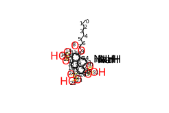 CCCCCCCC(=O)Oc1cc(S(=O)(=O)O)c2ccc3c(S(=O)(=O)O)cc(S(=O)(=O)O)c4ccc1c2c43.[NaH].[NaH].[NaH]